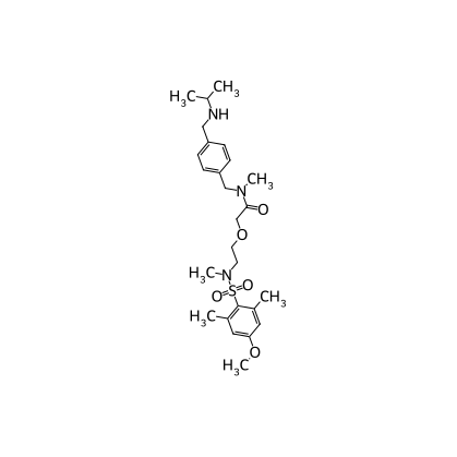 COc1cc(C)c(S(=O)(=O)N(C)CCOCC(=O)N(C)Cc2ccc(CNC(C)C)cc2)c(C)c1